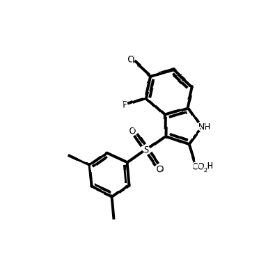 Cc1cc(C)cc(S(=O)(=O)c2c(C(=O)O)[nH]c3ccc(Cl)c(F)c23)c1